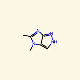 Cc1nc2n[nH]cc2n1C